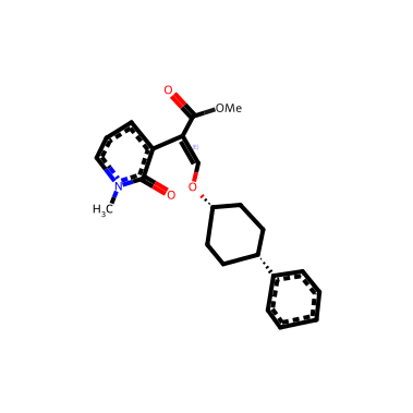 COC(=O)/C(=C/O[C@H]1CC[C@@H](c2ccccc2)CC1)c1cccn(C)c1=O